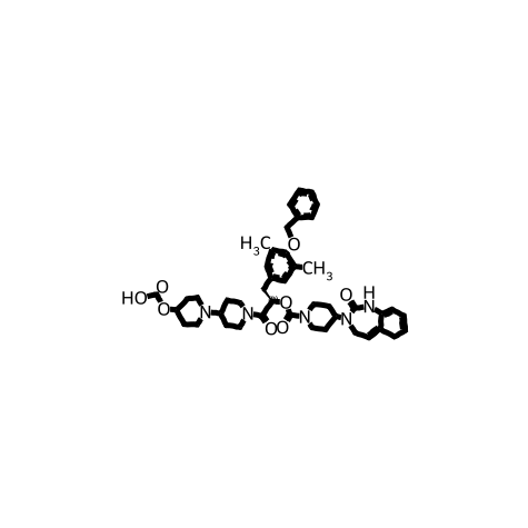 Cc1cc(C[C@@H](OC(=O)N2CCC(N3CC=C4CC=CC=C4NC3=O)CC2)C(=O)N2CCC(N3CCC(OC(=O)O)CC3)CC2)cc(C)c1OCc1ccccc1